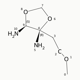 COCC[C@@]1(N)OCO[C@@H]1N